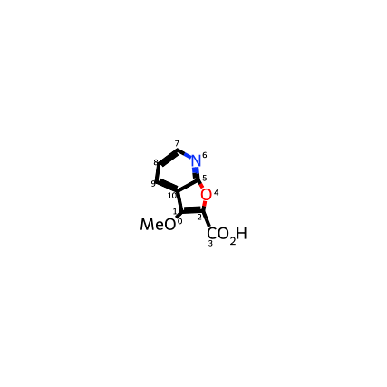 COc1c(C(=O)O)oc2ncccc12